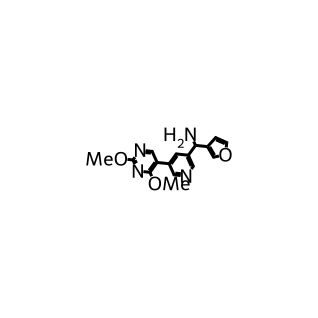 COc1ncc(-c2cncc(C(N)c3ccoc3)c2)c(OC)n1